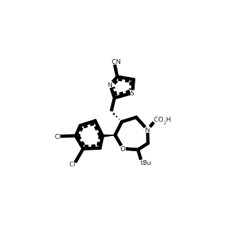 CC(C)(C)C1CN(C(=O)O)C[C@@H](Cc2nc(C#N)cs2)[C@H](c2ccc(Cl)c(Cl)c2)O1